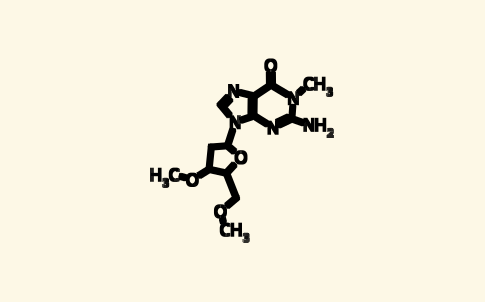 COCC1OC(n2cnc3c(=O)n(C)c(N)nc32)CC1OC